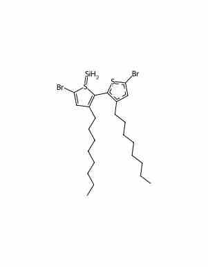 CCCCCCCCC1=C(c2sc(Br)cc2CCCCCCCC)S(=[SiH2])C(Br)=C1